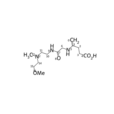 C=C(CCC(=O)O)NCC(=O)NCCN(C)CCOC